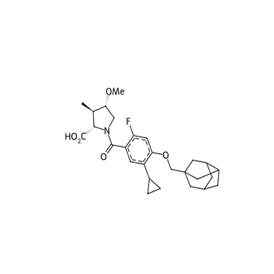 CO[C@@H]1CN(C(=O)c2cc(C3CC3)c(OCC34CC5CC(C3)C(C5)C4)cc2F)[C@H](C(=O)O)[C@H]1C